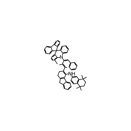 C/C(C1=C(Nc2ccc3c(c2)C(C)(C)CCC3(C)C)C2=C(CC1)Cc1ccccc12)=C(C)\C(=C/c1ccccc1)N1c2ccccc2C2(c3ccccc3-c3ccccc32)c2cccc(C)c21